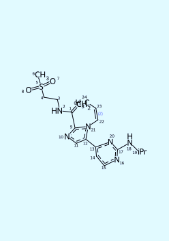 C=C(NCCS(C)(=O)=O)c1ncc(-c2ccnc(NC(C)C)n2)n1/C=C\C